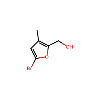 Cc1cc(Br)oc1CO